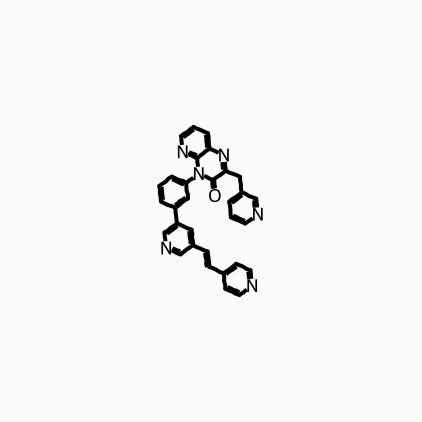 O=c1c(Cc2cccnc2)nc2cccnc2n1-c1cccc(-c2cncc(C=Cc3ccncc3)c2)c1